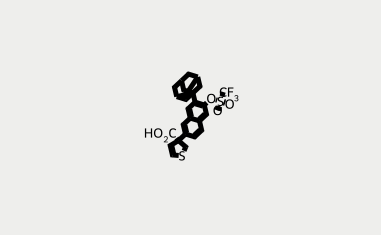 O=C(O)C1(c2ccc3cc(OS(=O)(=O)C(F)(F)F)c(C45CC6CC(CC(C6)C4)C5)cc3c2)C=CSC1